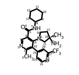 Cc1ncc(C(=O)NC2CCCCC2)c(N2CC[C@](C)(N)C2)c1-c1ccnc(C(F)(F)F)c1